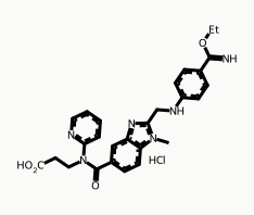 CCOC(=N)c1ccc(NCc2nc3cc(C(=O)N(CCC(=O)O)c4ccccn4)ccc3n2C)cc1.Cl